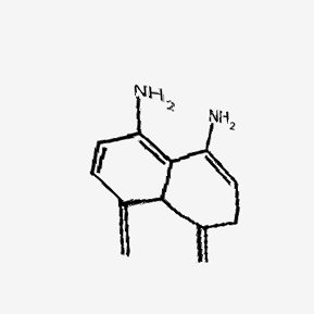 C=C1C=CC(N)=C2C(N)=CCC(=C)C12